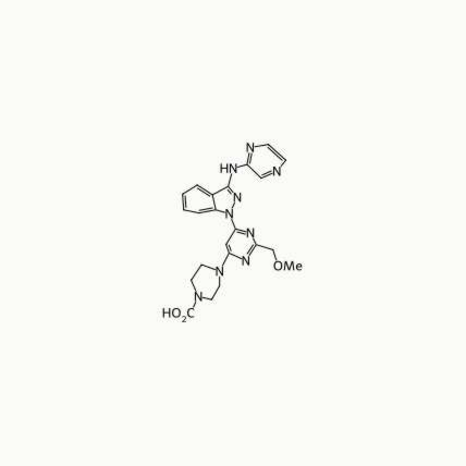 COCc1nc(N2CCN(C(=O)O)CC2)cc(-n2nc(Nc3cnccn3)c3ccccc32)n1